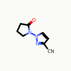 N#Cc1ccn(N2CCCC2=O)n1